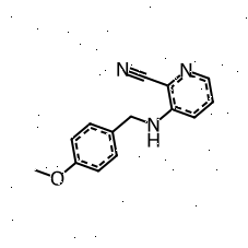 COc1ccc(CNc2cccnc2C#N)cc1